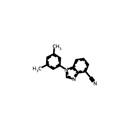 Cc1cc(C)cc(-n2cnc3c(C#N)cccc32)c1